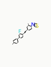 Cc1ccc(-c2ccc(C#Cc3ccc(N=C=S)c(C)c3)c(F)c2)cc1